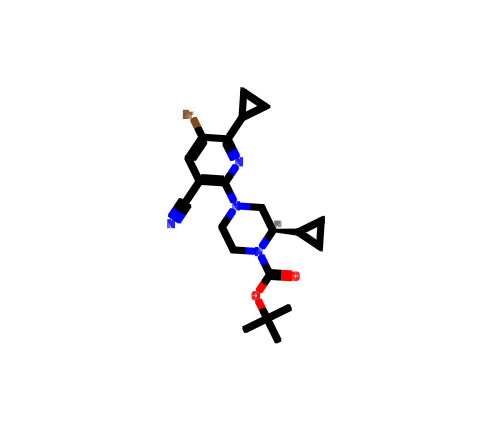 CC(C)(C)OC(=O)N1CCN(c2nc(C3CC3)c(Br)cc2C#N)C[C@H]1C1CC1